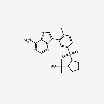 Cc1ccc(S(=O)(=O)N2CCCC2C(C)(C)O)cc1-c1cnc2c(N)ncnn12